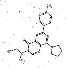 Cc1ccc(-c2cc3c(=O)n([C@@H](C)CO)cnc3c(N3CCCC3)n2)cn1